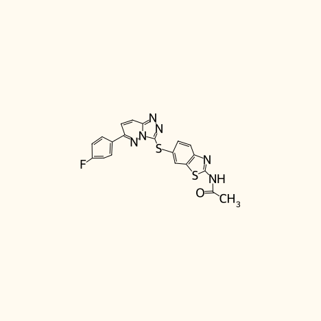 CC(=O)Nc1nc2ccc(Sc3nnc4ccc(-c5ccc(F)cc5)nn34)cc2s1